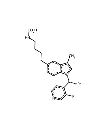 CCCN(c1ccncc1F)n1cc(C)c2cc(CCCCNC(=O)O)ccc21